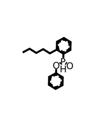 CCCCCc1ccccc1[PH](=O)Oc1ccccc1